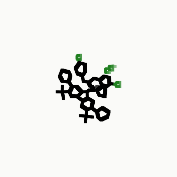 CC(C)(C)c1cc2c(cc1-c1ccccc1)[CH]([Zr+2]([C]1=CC=CC1)=[C](Cc1ccc(Cl)cc1)Cc1ccc(Cl)cc1)c1cc(-c3ccccc3)c(C(C)(C)C)cc1-2.[Cl-].[Cl-]